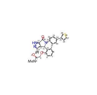 CNC(=O)COc1ccccc1C1c2c(C(C)C)n[nH]c2C(=O)N1c1ccc(-c2ccsc2)cc1